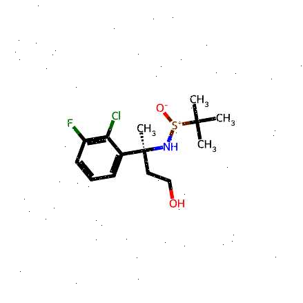 CC(C)(C)[S+]([O-])N[C@@](C)(CCO)c1cccc(F)c1Cl